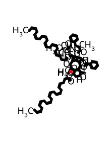 CC/C=C\C/C=C\C/C=C\C/C=C\C/C=C\C/C=C\CCC(=O)O[C@H]1C(=O)[C@]2(C)[C@@H](OC(=O)CC/C=C\C/C=C\C/C=C\C/C=C\C/C=C\C/C=C\CC)C[C@H]3OC[C@@]3(OC(C)=O)[C@H]2[C@H](OC(=O)c2ccccc2)[C@]2(O)CC3(OC(=O)[C@H](C)C(NC(=O)OC(C)(C)C)c4ccccc4)C(C)=C1[C@@]32C